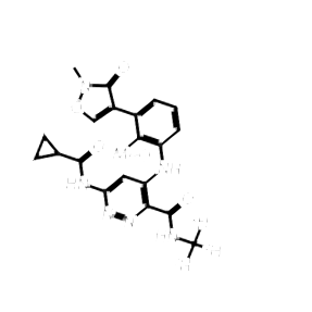 [2H]C([2H])([2H])NC(=O)c1nnc(NC(=O)C2CC2)cc1Nc1cccc(-c2con(C)c2=O)c1OC